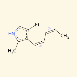 C/C=C\C=C/c1c(CC)c[nH]c1C